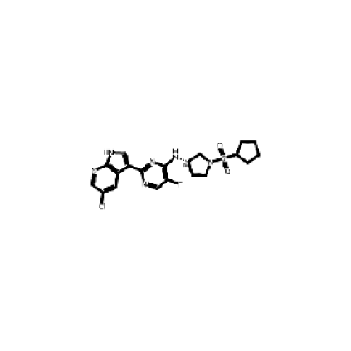 O=S(=O)(C1CCCC1)N1CC[C@H](Nc2nc(-c3c[nH]c4ncc(Cl)cc34)ncc2F)C1